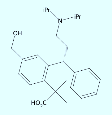 CC(C)N(CC[C@H](c1ccccc1)c1cc(CO)ccc1C(C)(C)C(=O)O)C(C)C